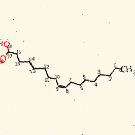 CCCCCCCC/C=C\CCCCCCC[C](O)O